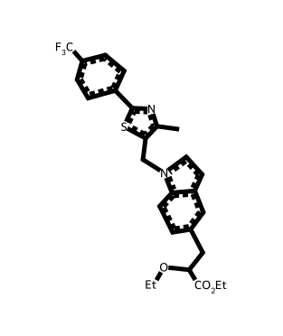 CCOC(=O)C(Cc1ccc2c(ccn2Cc2sc(-c3ccc(C(F)(F)F)cc3)nc2C)c1)OCC